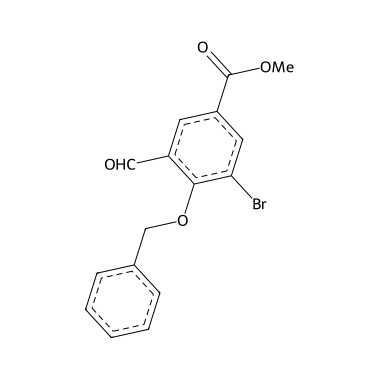 COC(=O)c1cc(Br)c(OCc2ccccc2)c(C=O)c1